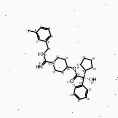 N=C(NCc1cccc(F)c1)N1CCC(OC(=O)[C@](O)(c2ccccc2)C2CCCC2)CC1